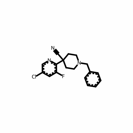 N#CC1(c2ncc(Cl)cc2F)CCN(Cc2ccccc2)CC1